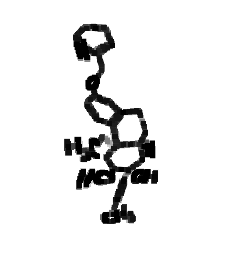 CC#C[C@]1(O)C[C@H]2CCc3cc(OCc4ccccn4)ccc3[C@]2(CC)C[C@@H]1O